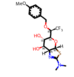 COc1ccc(CO[C@H]([C@H]2O[C@@H]3SC(N(C)C)=N[C@@H]3[C@@H](O)[C@@H]2O)C(F)(F)F)cc1